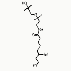 CC(C)(O)COC(C)(C)CCNC(=O)CCCCC(S)CCS